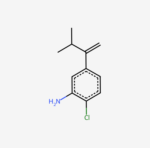 C=C(c1ccc(Cl)c(N)c1)C(C)C